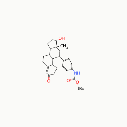 CC(C)(C)OC(=O)Nc1ccc(C2CC3(C)C(CC[C@@H]3O)C3CCC4=CC(=O)CCC4C23)cc1